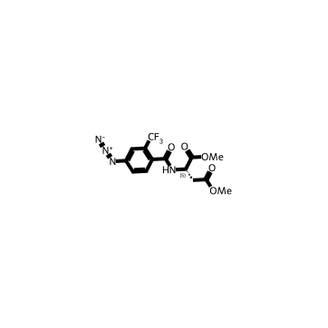 COC(=O)C[C@H](NC(=O)c1ccc(N=[N+]=[N-])cc1C(F)(F)F)C(=O)OC